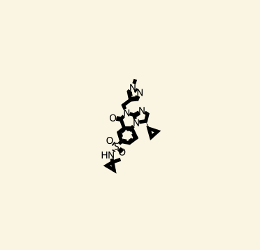 Cn1cc(CN2C(=O)c3cc(S(=O)(=O)NC4(C)CC4)ccc3N3C2=NC[C@@H]3C2CC2)cn1